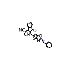 N#CC(C#N)=C1/C(=C/c2cc3oc(/C=C/c4ccccc4)nc3s2)C(=O)c2ccccc21